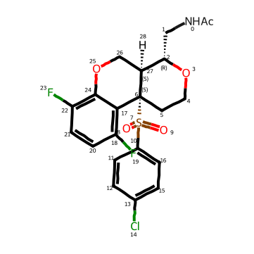 CC(=O)NC[C@@H]1OCC[C@@]2(S(=O)(=O)c3ccc(Cl)cc3)c3c(F)ccc(F)c3OC[C@@H]12